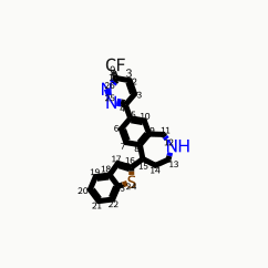 FC(F)(F)c1ccc(-c2ccc3c(c2)CNCCC3c2cc3ccccc3s2)nn1